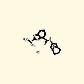 CN(C)c1nc2c(C(=O)NC3CC4CCCC(C3)N4C)cccc2o1.Cl